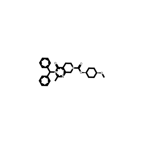 CO[C@H]1CC[C@@H](OC(=O)N2CCc3c(nc(C)n(C(c4ccccc4)c4ccccc4)c3=O)C2)CC1